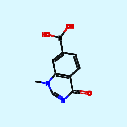 Cn1cnc(=O)c2ccc(B(O)O)cc21